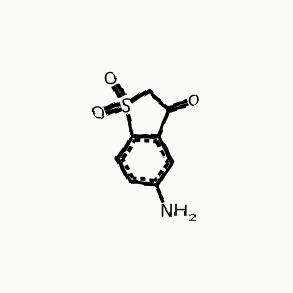 Nc1ccc2c(c1)C(=O)CS2(=O)=O